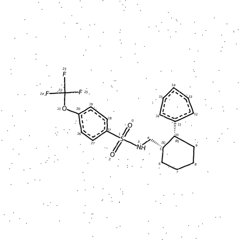 O=S(=O)(NC[C@H]1CCCC[C@H]1c1ccccc1)c1ccc(OC(F)(F)F)cc1